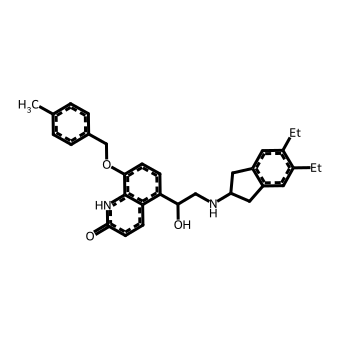 CCc1cc2c(cc1CC)CC(NCC(O)c1ccc(OCc3ccc(C)cc3)c3[nH]c(=O)ccc13)C2